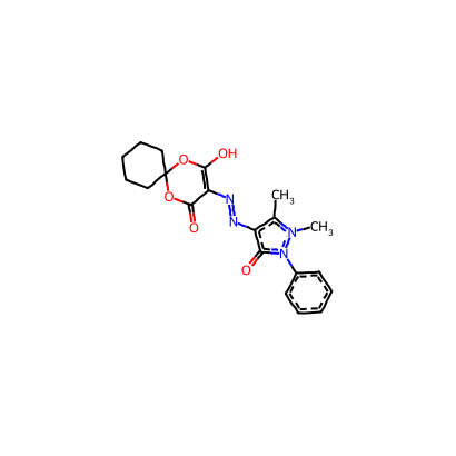 Cc1c(N=NC2=C(O)OC3(CCCCC3)OC2=O)c(=O)n(-c2ccccc2)n1C